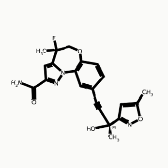 Cc1cc([C@](C)(O)C#Cc2ccc3c(c2)-n2nc(C(N)=O)cc2C(C)(F)CO3)no1